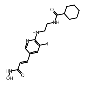 O=C(/C=C/c1cnc(NCCNC(=O)C2CCCCC2)c(I)c1)NO